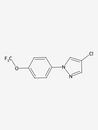 FC(F)(F)Oc1ccc(-n2cc(Cl)cn2)cc1